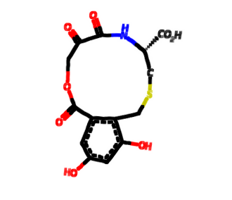 O=C1COC(=O)c2cc(O)cc(O)c2CSC[C@@H](C(=O)O)NC1=O